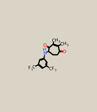 CC1=C(C)C(=O)C(Nc2cc(C(F)(F)F)cc(C(F)(F)F)c2)CCC1=O